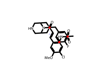 COc1cc(/C=C/C(=O)N2C3CNCC2CN(Cc2ccc(F)cc2)C3)c(NS(C)(=O)=O)cc1Cl